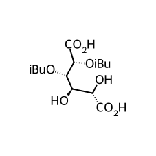 CC(C)CO[C@@H]([C@H](O)[C@H](O)C(=O)O)[C@@H](OCC(C)C)C(=O)O